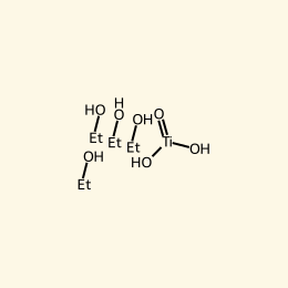 CCO.CCO.CCO.CCO.[O]=[Ti]([OH])[OH]